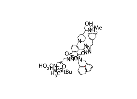 COc1ccc(Cn2nnc(-c3c(N4CCC(C(N)CO)CC4)ccc(S(=O)(=O)NC[C@@H](CNC(=O)O)O[Si](C)(C)C(C)(C)C)c3S(=O)(=O)N(Cc3ccccc3)Cc3ccccc3)n2)cc1